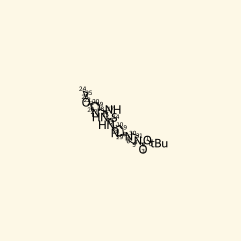 CC(C)(C)OC(=O)N1CCN(c2ccc(NC(=S)NC(=N)c3ccc(OC4CC4)cn3)nc2)CC1